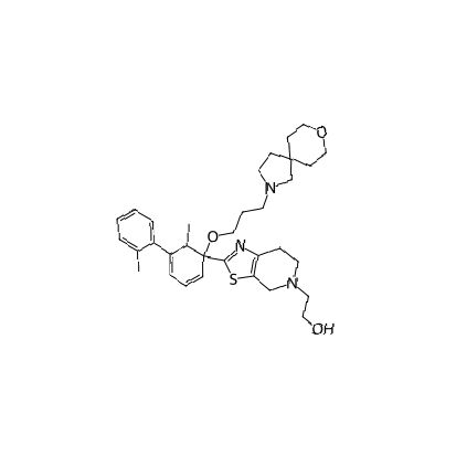 Cc1ccccc1C1=CC=CC(OCCCN2CCC3(CCOCC3)C2)(c2nc3c(s2)CN(CCO)CC3)C1C